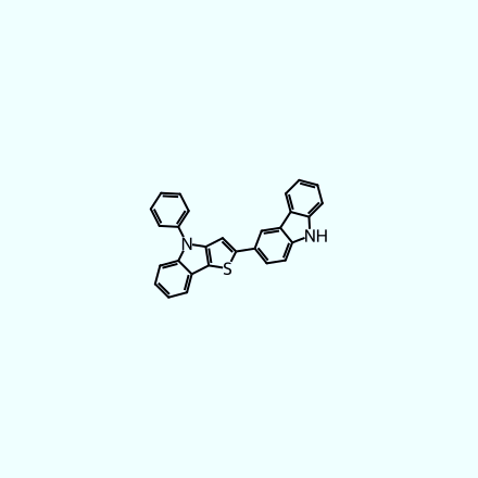 c1ccc(-n2c3ccccc3c3sc(-c4ccc5[nH]c6ccccc6c5c4)cc32)cc1